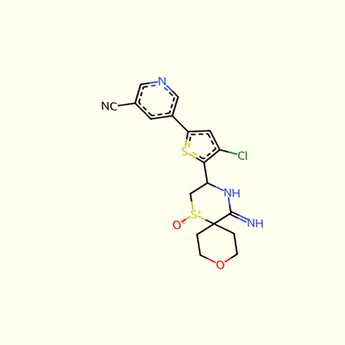 N#Cc1cncc(-c2cc(Cl)c(C3C[S+]([O-])C4(CCOCC4)C(=N)N3)s2)c1